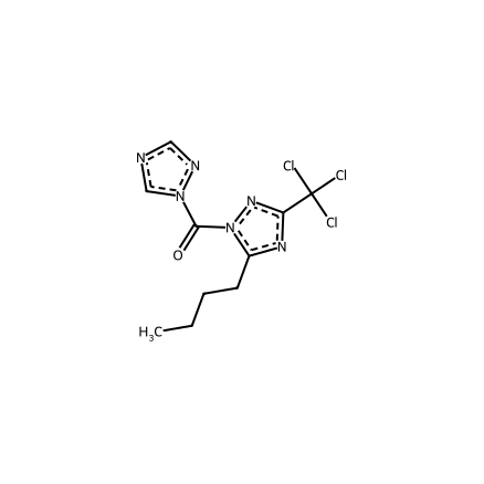 CCCCc1nc(C(Cl)(Cl)Cl)nn1C(=O)n1cncn1